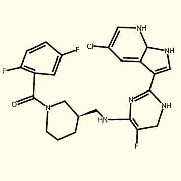 O=C(c1cc(F)ccc1F)N1CCC[C@H](CNC2=C(F)CNC(C3=CNC4NC=C(Cl)C=C34)=N2)C1